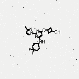 Cc1ccn(-c2nc(NC3CCC(F)(F)CC3)cc(OC3CC(O)C3)n2)n1